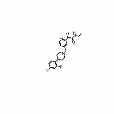 CCNC(=O)Nc1cc(CN2CCN(c3ccc(F)cc3F)CC2)ccn1